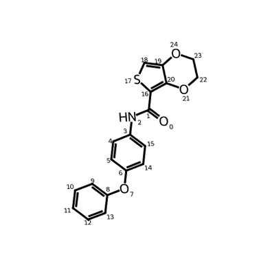 O=C(Nc1ccc(Oc2ccccc2)cc1)c1scc2c1OCCO2